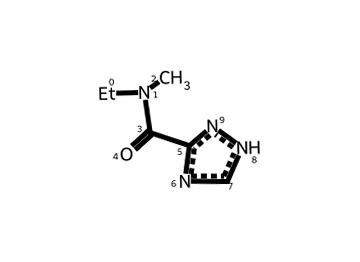 CCN(C)C(=O)c1nc[nH]n1